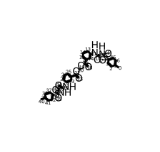 Cc1ccc(S(=O)(=O)NC(=O)Nc2cccc(C(=O)OCOC(=O)c3cccc(NC(=O)NS(=O)(=O)c4ccc(C)cc4)c3)c2)cc1